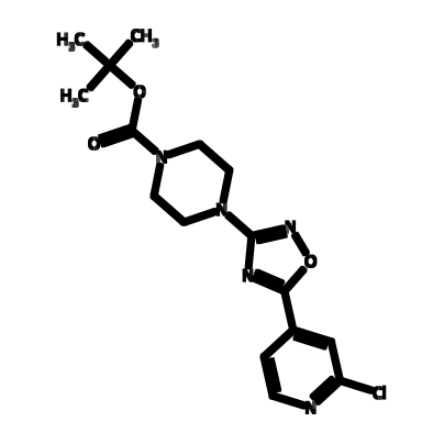 CC(C)(C)OC(=O)N1CCN(c2noc(-c3ccnc(Cl)c3)n2)CC1